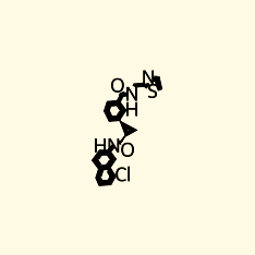 O=C(NCc1nccs1)c1cccc([C@@H]2C[C@H]2C(=O)Nc2ccc3cccc(Cl)c3c2)c1